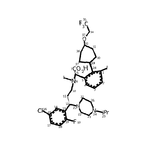 Cc1cccc([C@@H](C(=O)O)N(C)CC[C@@H](c2cc(Cl)ccc2F)N2CCN(C(C)C)CC2)c1C1CCC(OCC(F)(F)F)CC1